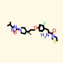 CC(C)c1noc(N2CCC([C@H](C)CCOc3ccc(C[C@H](N)C(=O)N4CCSC4)c(F)c3)CC2)n1